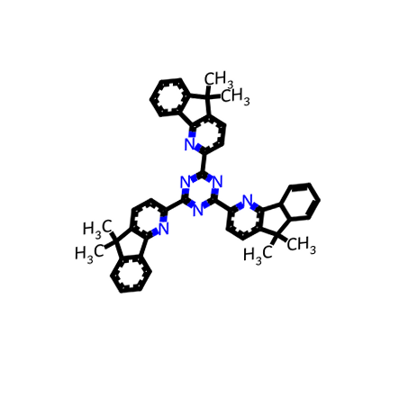 CC1(C)c2ccccc2-c2nc(-c3nc(-c4ccc5c(n4)-c4ccccc4C5(C)C)nc(-c4ccc5c(n4)C4C=CC=CC4C5(C)C)n3)ccc21